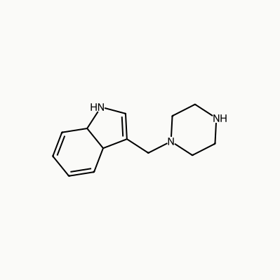 C1=CC2NC=C(CN3CCNCC3)C2C=C1